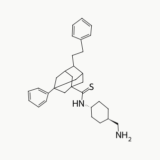 NC[C@H]1CC[C@H](NC(=S)C23CC4CC(c5ccccc5)(CC(C2)C4CCc2ccccc2)C3)CC1